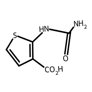 NC(=O)Nc1sccc1C(=O)O